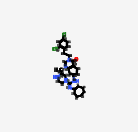 C[C@H]1CN(/C(=N/C2CCCCCC2)Nc2ccc3c(=O)n(CCc4ccc(Cl)cc4Cl)cnc3c2)CCN1